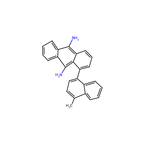 Cc1ccc(-c2cccc3c(N)c4ccccc4c(N)c23)c2ccccc12